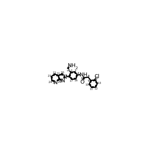 NSc1cc(NC(=O)Cc2ccccc2Cl)ccc1-n1cc2cccnc2n1